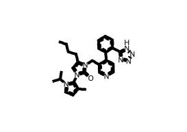 CCCCc1cn(-c2c(C)ccn2C(C)C)c(=O)n1Cc1cnccc1-c1ccccc1-c1nnn[nH]1